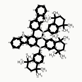 CC1(C)CCC(C)(C)c2cc(N3B4c5cc6c(cc5N(c5ccc7c(c5)C(C)(C)CCC7(C)C)c5cc7c(oc8ccccc87)c(c54)-c4ccc5c(oc7ccccc75)c43)C(C)(C)CCC6(C)C)ccc21